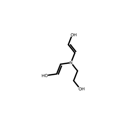 OC=CN(C=CO)CCO